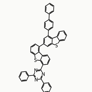 c1ccc(-c2ccc(-c3cc(-c4cccc5sc6c(-c7nc(-c8ccccc8)nc(-c8ccccc8)n7)cccc6c45)cc4sc5ccccc5c34)cc2)cc1